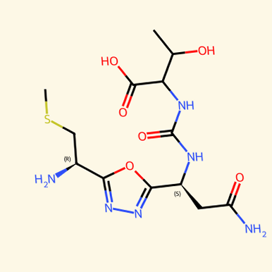 CSC[C@H](N)c1nnc([C@H](CC(N)=O)NC(=O)NC(C(=O)O)C(C)O)o1